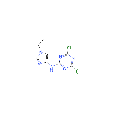 CCn1cnc(Nc2nc(Cl)nc(Cl)n2)c1